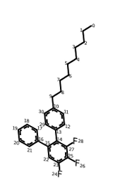 CCCCCCCCCCc1ccc(-c2c(-c3ccccc3)cc(F)c(F)c2F)cc1